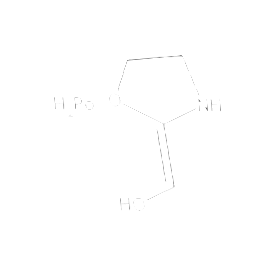 OC=C1NCCO1.[PoH2]